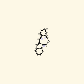 C1=C2\C(=Nc3ccccc32)/C=c2/ccnc/c2=C/O/1